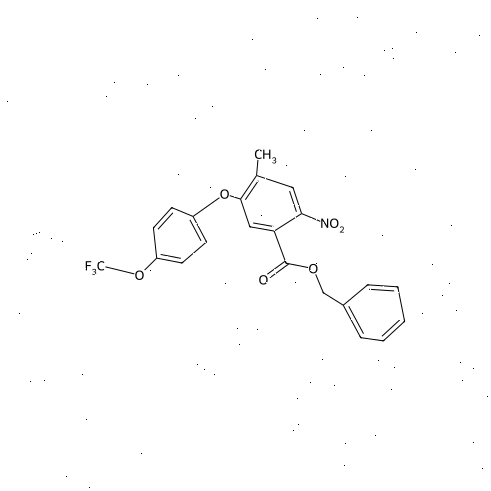 Cc1cc([N+](=O)[O-])c(C(=O)OCc2ccccc2)cc1Oc1ccc(OC(F)(F)F)cc1